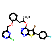 O=C(O)C(Cc1ccccc1OCc1ccnc(Cl)n1)Oc1ncnc2sc(-c3ccc(F)cc3)c(Br)c12